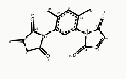 C=C1CC(=O)N(c2cc(N3C(=O)C=CC3=O)c(C)cc2C)C1=O